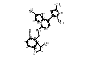 Cc1cc(-c2cnc(NCc3c(F)ccc4c3C(O)CO4)n3cc(C#N)nc23)n(C)n1